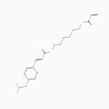 C=CC(=O)OCCCCCCOC(=O)/C=C/c1ccc(CC(CC)CCCC)cc1